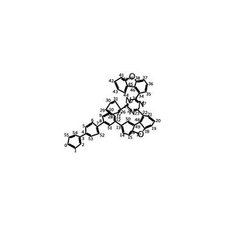 c1ccc(-c2ccc(-c3cccc(-c4ccc5oc6cccc(-c7nc(-c8ccccc8)nc(-c8cccc9oc%10ccccc%10c89)n7)c6c5c4)c3)cc2)cc1